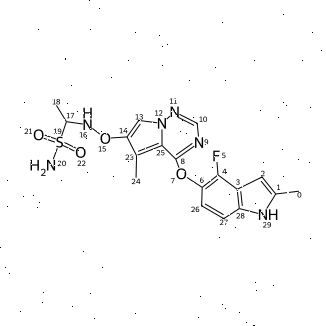 Cc1cc2c(F)c(Oc3ncnn4cc(ONC(C)S(N)(=O)=O)c(C)c34)ccc2[nH]1